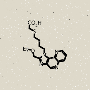 CCOCc1nc2cnc3cccnc3c2n1CCCCSCC(=O)O